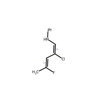 C/C(F)=C/C(Cl)=C\NC(C)C